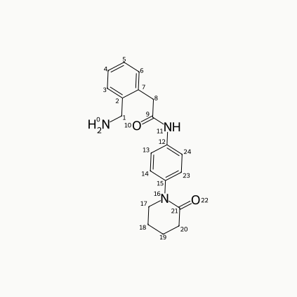 NCc1ccccc1CC(=O)Nc1ccc(N2CCCCC2=O)cc1